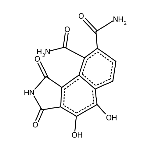 NC(=O)c1ccc2c(O)c(O)c3c(c2c1C(N)=O)C(=O)NC3=O